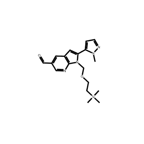 Cn1nccc1-c1cc2cc(C=O)cnc2n1COCC[Si](C)(C)C